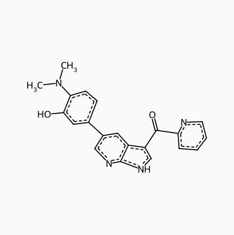 CN(C)c1ccc(-c2cnc3[nH]cc(C(=O)c4ccccn4)c3c2)cc1O